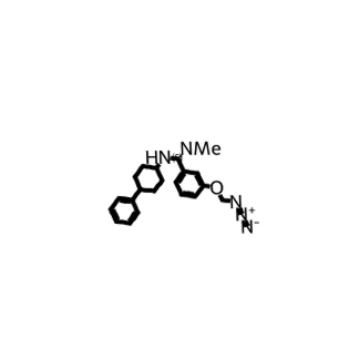 CN[C@@H](NC1CCC(c2ccccc2)CC1)c1cccc(OCN=[N+]=[N-])c1